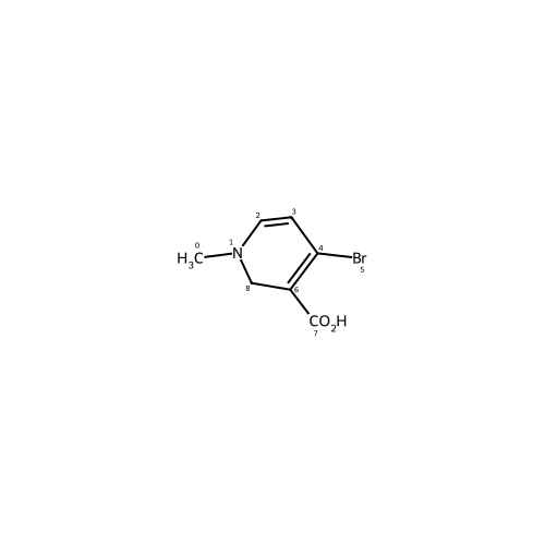 CN1C=CC(Br)=C(C(=O)O)C1